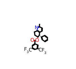 Cc1ccc2c(n1)CC[C@H](OC(=O)c1cc(C(F)(F)F)cc(C(F)(F)F)c1)[C@H]2c1ccccc1